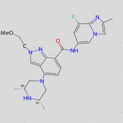 COCCn1cc2c(N3C[C@@H](C)N[C@@H](C)C3)ccc(C(=O)Nc3cc(F)c4nc(C)cn4c3)c2n1